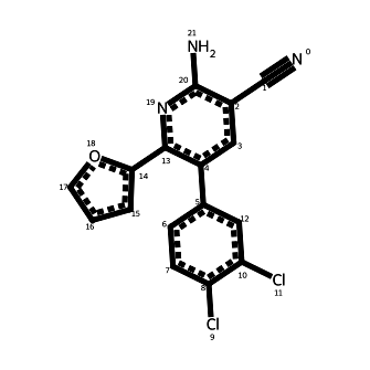 N#Cc1cc(-c2ccc(Cl)c(Cl)c2)c(-c2ccco2)nc1N